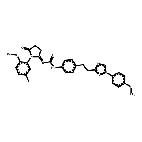 Cc1ccc(OC(C)C)c(N2C(=O)CSC2=NC(=O)Nc2ccc(CCc3ncn(-c4ccc(OC(F)(F)F)cc4)n3)cc2)c1